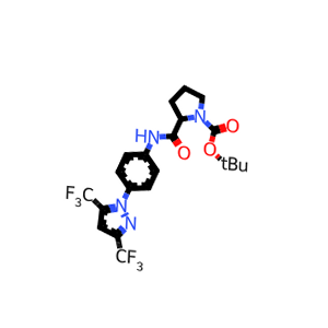 CC(C)(C)OC(=O)N1CCCC1C(=O)Nc1ccc(-n2nc(C(F)(F)F)cc2C(F)(F)F)cc1